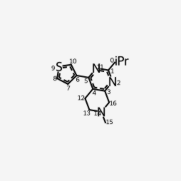 CC(C)c1nc2c(c(-c3ccsc3)n1)CCN(C)C2